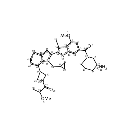 COc1cc(C(=O)N2CCC[C@@H](N)C2)cn2nc(-c3cc4cccc(C5CN(C(=O)C(C)OC)C5)c4n3CC3CC3)c(C)c12